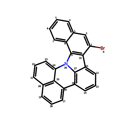 Brc1cc2ccccc2c2c1c1cccc3c4cccc5cccc(c54)n2c31